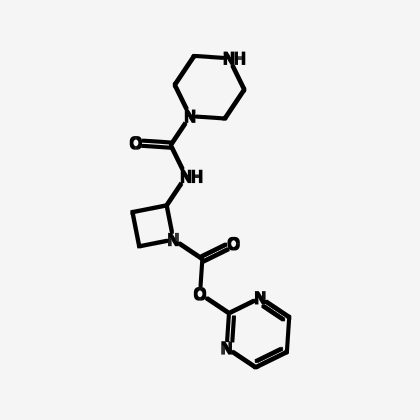 O=C(NC1CCN1C(=O)Oc1ncccn1)N1CCNCC1